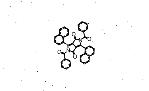 O=C1C2=C(c3cccc4ccccc34)N(C(=O)c3ccccc3)C(=O)C2=C(c2cccc3ccccc23)N1C(=O)c1ccccc1